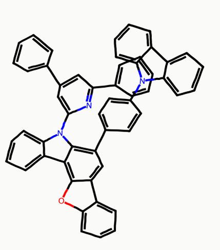 c1ccc(-c2cc(-c3ccccc3)nc(-n3c4ccccc4c4c5oc6ccccc6c5cc(-c5ccc(-n6c7ccccc7c7ccccc76)cc5)c43)c2)cc1